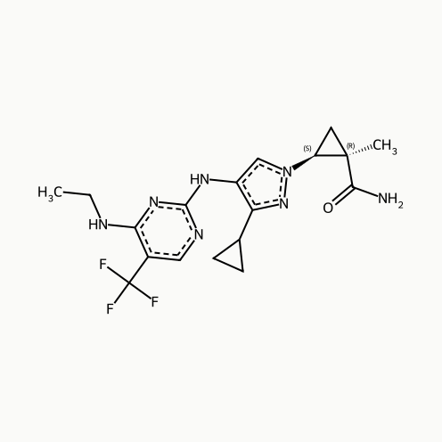 CCNc1nc(Nc2cn([C@H]3C[C@@]3(C)C(N)=O)nc2C2CC2)ncc1C(F)(F)F